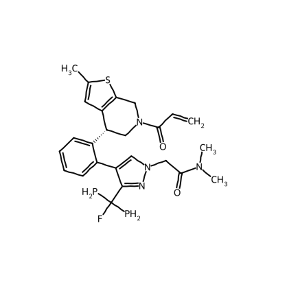 C=CC(=O)N1Cc2sc(C)cc2[C@@H](c2ccccc2-c2cn(CC(=O)N(C)C)nc2C(F)(P)P)C1